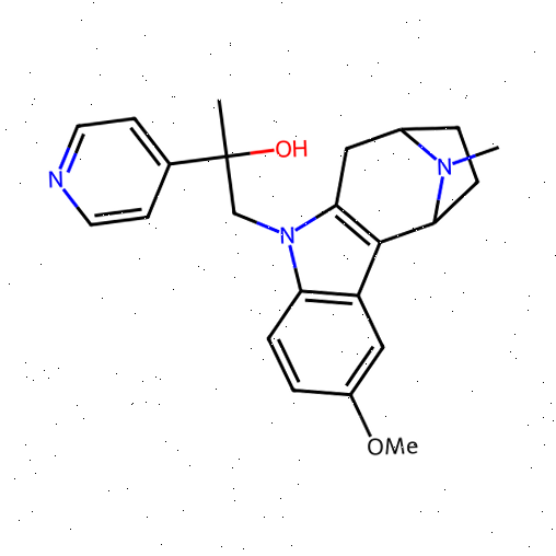 COc1ccc2c(c1)c1c(n2CC(C)(O)c2ccncc2)CC2CCC1N2C